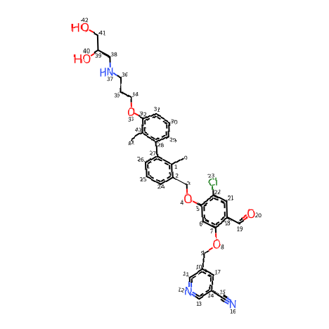 Cc1c(COc2cc(OCc3cncc(C#N)c3)c(C=O)cc2Cl)cccc1-c1cccc(OCCCNCC(O)CO)c1C